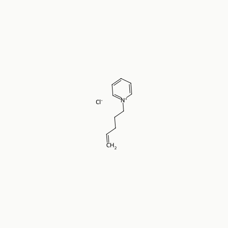 C=CCCC[n+]1ccccc1.[Cl-]